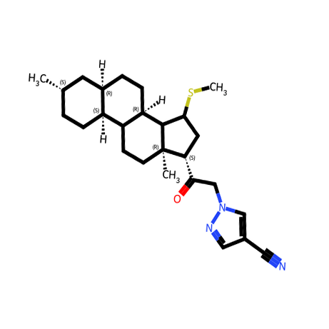 CSC1C[C@H](C(=O)Cn2cc(C#N)cn2)[C@@]2(C)CCC3[C@@H](CC[C@@H]4C[C@@H](C)CC[C@H]34)C12